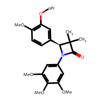 CCCOc1cc([C@@H]2N(c3cc(OC)c(OC)c(OC)c3)C(=O)C2(C)C)ccc1OC